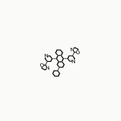 c1ccc(-c2ccc3c(-c4cncc(-c5ncco5)c4)c4ccccc4c(-c4cncc(-c5ncco5)c4)c3c2)cc1